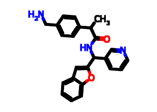 CC(C(=O)NC(c1cccnc1)c1cc2ccccc2o1)c1ccc(CN)cc1